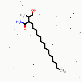 CCCCCCCCCCCCCCCC(C(N)=O)C(C)CO